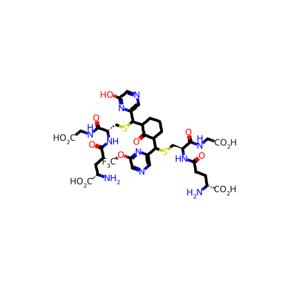 N[C@H](CCC(=O)N[C@@H](CSC(c1cncc(OC(F)(F)F)n1)C1CCCC(C(SC[C@H](NC(=O)CC[C@H](N)C(=O)O)C(=O)NCC(=O)O)c2cncc(O)n2)C1=O)C(=O)NCC(=O)O)C(=O)O